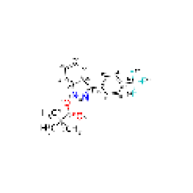 CC(C)(C)C(=O)On1nc(-c2ccc(C(F)(F)F)cc2)c2ccccc21